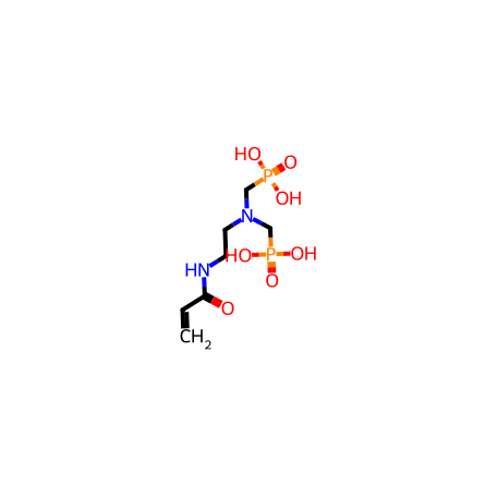 C=CC(=O)NCCN(CP(=O)(O)O)CP(=O)(O)O